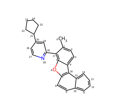 Cc1ccc2c(oc3ccc4ccccc4c32)c1-c1cc(C2CCCC2)ccn1